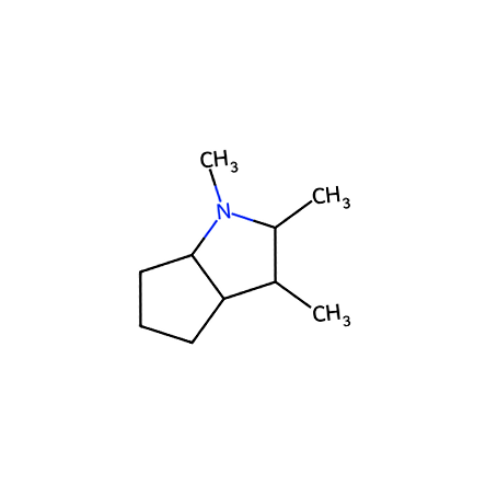 CC1C2CCCC2N(C)C1C